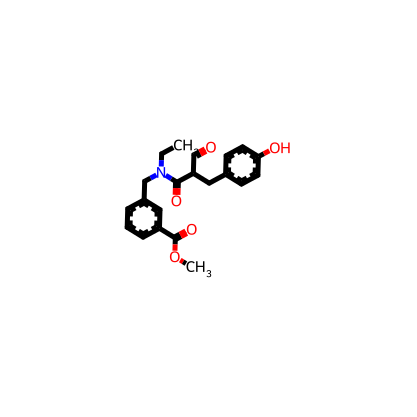 CCN(Cc1cccc(C(=O)OC)c1)C(=O)C(C=O)Cc1ccc(O)cc1